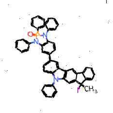 CC1(I)c2ccccc2-c2cc3c4cc(-c5ccc6c(c5)N(c5ccccc5)P(=O)(c5ccccc5)N6c5ccccc5)ccc4n(-c4ccccc4)c3cc21